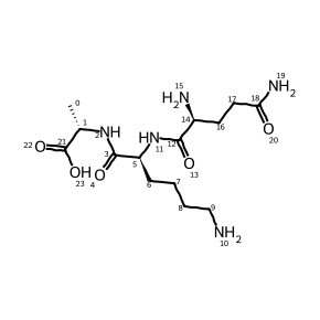 C[C@H](NC(=O)[C@H](CCCCN)NC(=O)[C@@H](N)CCC(N)=O)C(=O)O